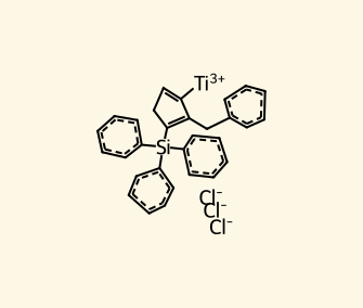 [Cl-].[Cl-].[Cl-].[Ti+3][C]1=CCC([Si](c2ccccc2)(c2ccccc2)c2ccccc2)=C1Cc1ccccc1